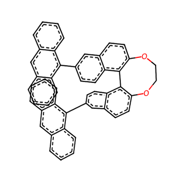 c1ccc2c(-c3ccc4c5c(ccc4c3)OCCOc3ccc4cc(-c6c7ccccc7cc7ccccc67)ccc4c3-5)c3ccccc3cc2c1